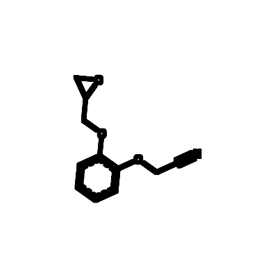 N#CCOc1ccccc1OCC1CO1